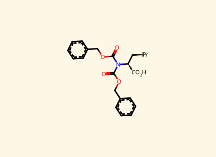 CC(C)C[C@@H](C(=O)O)N(C(=O)OCc1ccccc1)C(=O)OCc1ccccc1